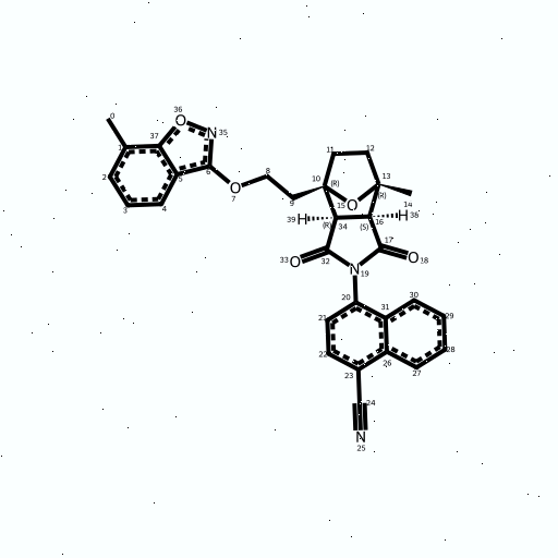 Cc1cccc2c(OCC[C@@]34CC[C@@](C)(O3)[C@H]3C(=O)N(c5ccc(C#N)c6ccccc56)C(=O)[C@H]34)noc12